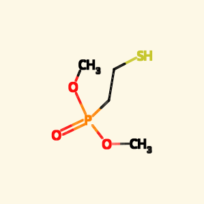 COP(=O)(CCS)OC